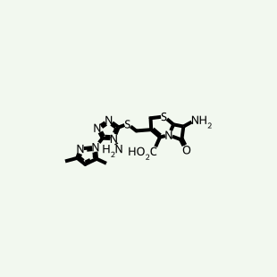 Cc1cc(C)n(-c2nnc(SCC3=C(C(=O)O)N4C(=O)C(N)C4SC3)n2N)n1